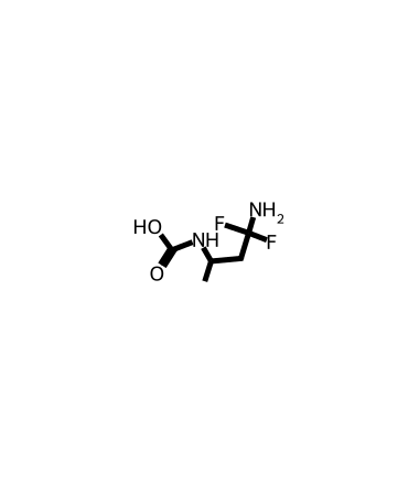 CC(CC(N)(F)F)NC(=O)O